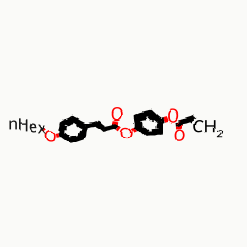 C=CC(=O)Oc1ccc(OC(=O)/C=C/c2ccc(OCCCCCC)cc2)cc1